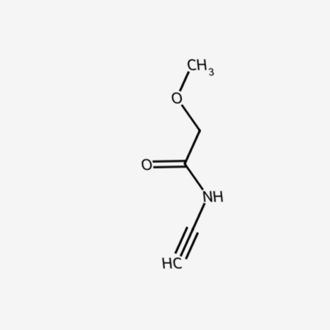 C#CNC(=O)COC